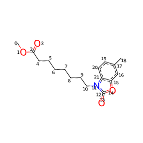 COC(=O)CCCCCCCn1c(=O)oc2cc(C)ccc21